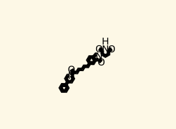 O=C1CCC(N2Cc3ccc(CCCCCC(=O)N4CCC(c5ccccc5)CC4)cc3C2=O)C(=O)N1